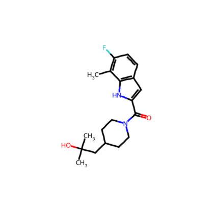 Cc1c(F)ccc2cc(C(=O)N3CCC(CC(C)(C)O)CC3)[nH]c12